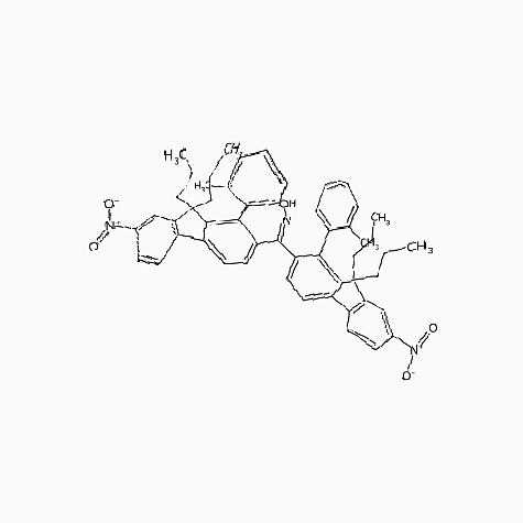 CCCC1(CCC)c2cc([N+](=O)[O-])ccc2-c2ccc(C(=NO)c3ccc4c(c3-c3ccccc3C)C(CCC)(CCC)c3cc([N+](=O)[O-])ccc3-4)c(-c3ccccc3C)c21